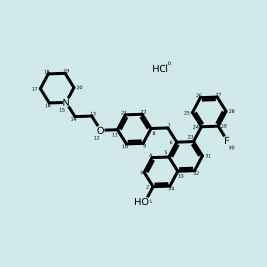 Cl.Oc1ccc2c(Cc3ccc(OCCN4CCCCC4)cc3)c(-c3ccccc3F)ccc2c1